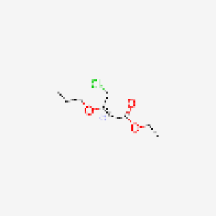 CCCO/C(=C/C(=O)OCC)CCl